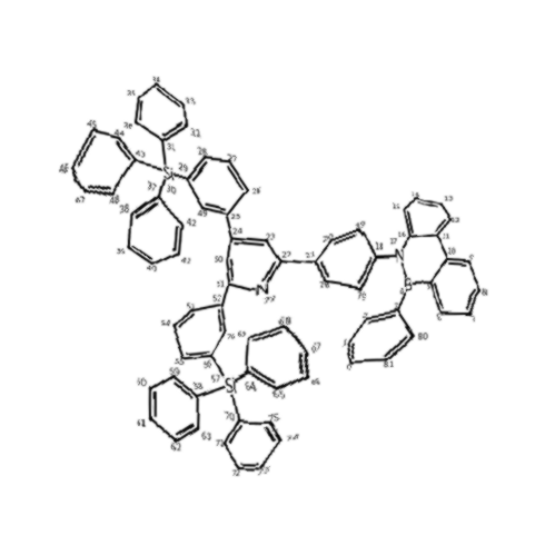 c1ccc(B2c3ccccc3-c3ccccc3N2c2ccc(-c3cc(-c4cccc([Si](c5ccccc5)(c5ccccc5)c5ccccc5)c4)cc(-c4cccc([Si](c5ccccc5)(c5ccccc5)c5ccccc5)c4)n3)cc2)cc1